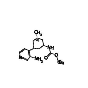 C[C@@H]1CC(NC(=O)OC(C)(C)C)CC(c2ccncc2N)C1